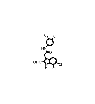 O=Cc1[nH]c2c(Cl)c(Cl)ccc2c1CC(=O)Nc1ccc(Cl)c(Cl)c1